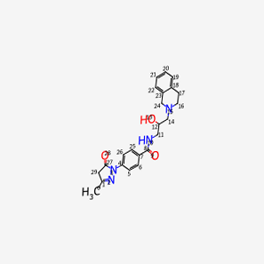 CC1=NN(c2ccc(C(=O)NCC(O)CN3CCc4ccccc4C3)cc2)C(=O)C1